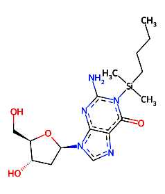 CCCC[Si](C)(C)n1c(N)nc2c(ncn2[C@H]2C[C@H](O)[C@@H](CO)O2)c1=O